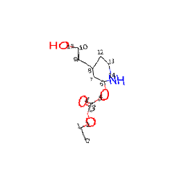 CCOC(=O)OC1CC(CCO)CCN1